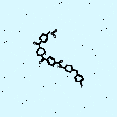 O=C(NC1CCN(Cc2ccc(F)cc2)CC1)c1ccc(C(=O)N2CCC(C(=O)c3ccc(C[SH](=O)=O)cc3)CC2)cn1